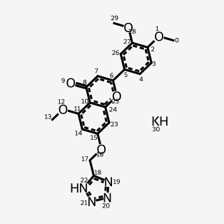 COc1ccc(-c2cc(=O)c3c(OC)cc(OCc4nnn[nH]4)cc3o2)cc1OC.[KH]